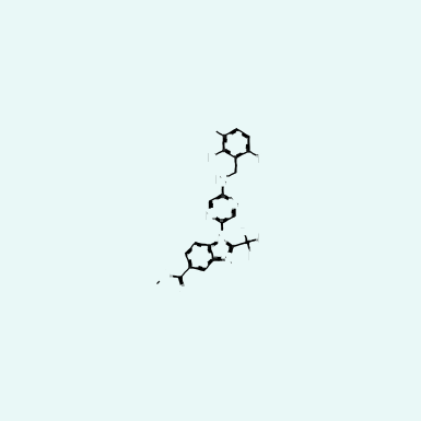 COC(=O)c1ccc2c(c1)nc(C(F)(F)F)n2-c1cnc(NCc2c(F)ccc(F)c2F)cn1